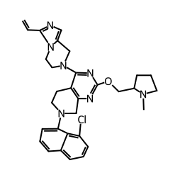 C=Cc1ncc2n1CCN(c1nc(OCC3CCCN3C)nc3c1CCN(c1cccc4cccc(Cl)c14)C3)C2